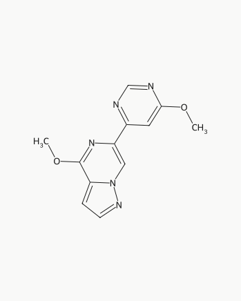 COc1cc(-c2cn3nccc3c(OC)n2)ncn1